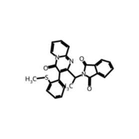 CSc1ccccc1-c1c(C(C)N2C(=O)c3ccccc3C2=O)nc2ccccn2c1=O